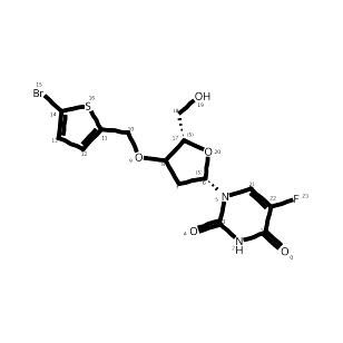 O=c1[nH]c(=O)n([C@@H]2CC(OCc3ccc(Br)s3)[C@H](CO)O2)cc1F